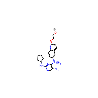 CCOCCOc1ccc2cc(N(N)c3nc(NC4CCCC4)ncc3N)ccc2n1